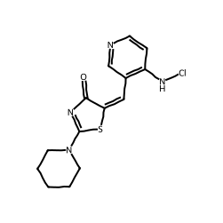 O=C1N=C(N2CCCCC2)S/C1=C/c1cnccc1NCl